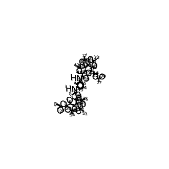 CC(=O)OC[C@H]1O[C@H](CC(=O)Nc2cccc(NC(=O)C[C@H]3O[C@H](COC(C)=O)[C@@H](OC(C)=O)[C@H](OC(C)=O)[C@@H]3OC(C)=O)c2)[C@@H](OC(C)=O)[C@H](OC(C)=O)[C@@H]1OC(C)=O